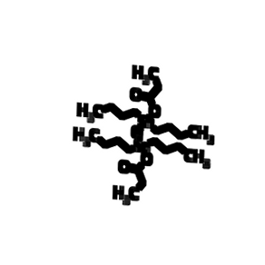 CCC[CH2][Sn]([CH2]CCC)([O]C(=O)CC)[O][Sn]([CH2]CCC)([CH2]CCC)[O]C(=O)CC